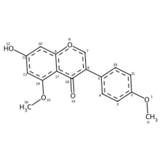 COc1ccc(-c2coc3cc(O)cc(OC)c3c2=O)cc1